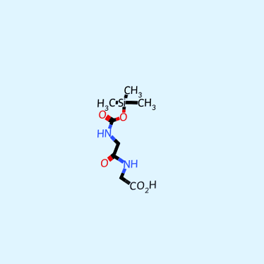 C[Si](C)(C)OC(=O)NCC(=O)NCC(=O)O